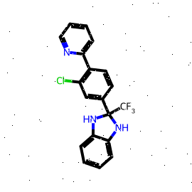 FC(F)(F)C1(c2ccc(-c3ccccn3)c(Cl)c2)Nc2ccccc2N1